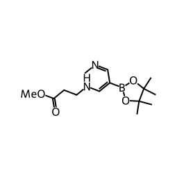 C/N=C\C(=C/NCCC(=O)OC)B1OC(C)(C)C(C)(C)O1